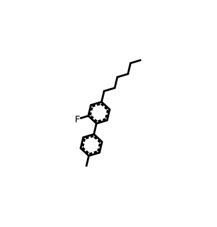 CCCCCCc1ccc(-c2ccc(C)cc2)c(F)c1